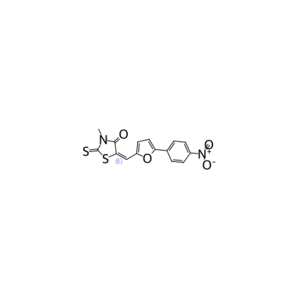 CN1C(=O)/C(=C\c2ccc(-c3ccc([N+](=O)[O-])cc3)o2)SC1=S